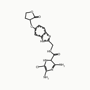 NC1=NC(N)=C(Cl)NC1C(=O)NCc1nc2ccc(OC3CCOC3=O)cc2[nH]1